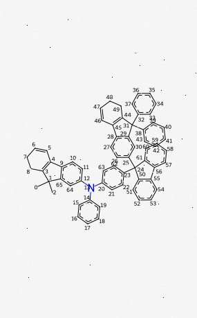 CC1(C)C2=C(C=CCC2)c2ccc(N(c3ccccc3)c3ccc(C4(c5ccc6c(c5)C(c5ccccc5)(c5ccccc5)C5=C6C=CCC5)c5ccccc5-c5ccccc54)cc3)cc21